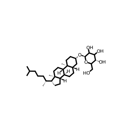 CC(C)CCC[C@@H](C)[C@H]1CC[C@H]2[C@@H]3CC[C@H]4C[C@@H](O[C@@H]5OC(CO)[C@@H](O)C(O)C5O)CC[C@]4(C)[C@H]3CC[C@]12C